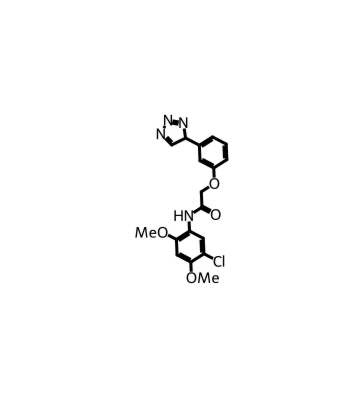 COc1cc(OC)c(NC(=O)COc2cccc(C3C=NN=N3)c2)cc1Cl